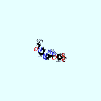 CC(C)CCC(=O)N1CCC(n2ncc3c(Oc4ccc(S(C)(=O)=O)cc4)ncnc32)CC1